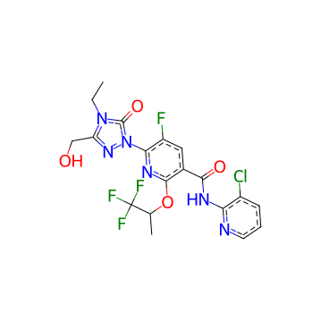 CCn1c(CO)nn(-c2nc(OC(C)C(F)(F)F)c(C(=O)Nc3ncccc3Cl)cc2F)c1=O